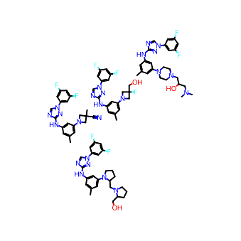 Cc1cc(Nc2ncn(-c3cc(F)cc(F)c3)n2)cc(N2CC(C)(C#N)C2)c1.Cc1cc(Nc2ncn(-c3cc(F)cc(F)c3)n2)cc(N2CC(F)(CO)C2)c1.Cc1cc(Nc2ncn(-c3cc(F)cc(F)c3)n2)cc(N2CCCC2CN2CCCC2CO)c1.Cc1cc(Nc2ncn(-c3cc(F)cc(F)c3)n2)cc(N2CCN(CC(O)CN(C)C)CC2)c1